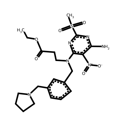 CCOC(=O)CCN(Cc1cccc(CN2CCCC2)c1)c1nc(S(C)(=O)=O)nc(N)c1[N+](=O)[O-]